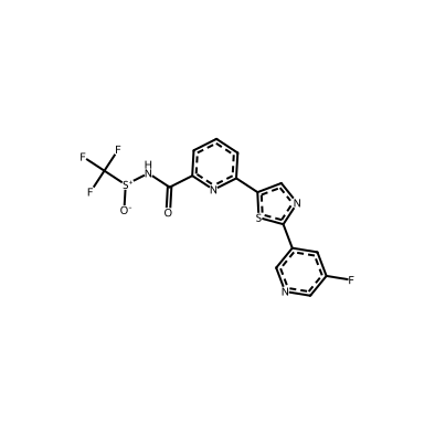 O=C(N[S+]([O-])C(F)(F)F)c1cccc(-c2cnc(-c3cncc(F)c3)s2)n1